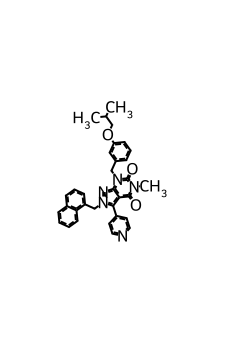 CC(C)COc1cccc(Cn2c(=O)n(C)c(=O)c3c(-c4ccncc4)n(Cc4cccc5ccccc45)nc32)c1